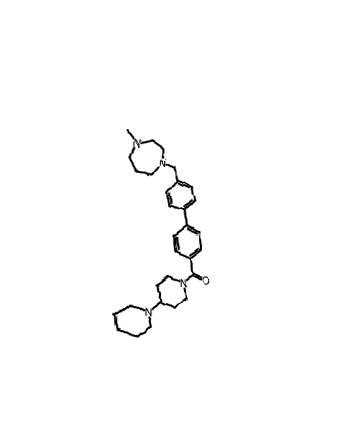 CN1CCCN(Cc2ccc(-c3ccc(C(=O)N4CCC(N5CCCCC5)CC4)cc3)cc2)CC1